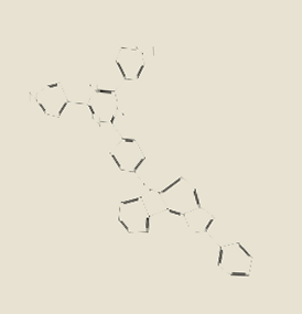 C1=CC(c2nc(-c3ccncc3)nc(-c3ccc(-n4c5ccccc5c5c6oc(-c7ccccc7)cc6ccc54)cc3)n2)=CCN1